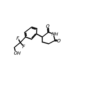 O=C1CCC(c2cccc(C(F)(F)CO)c2)C(=O)N1